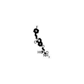 NC(=O)N(O)CCOc1ccc2c(c1)CCN(C/C=C/c1ccc(F)cc1)C2=O